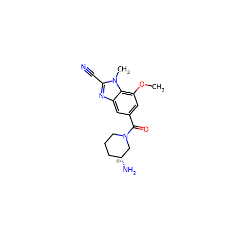 COc1cc(C(=O)N2CCC[C@@H](N)C2)cc2nc(C#N)n(C)c12